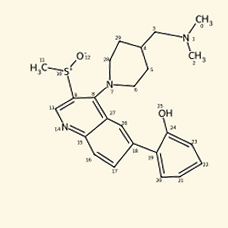 CN(C)CC1CCN(c2c([S+](C)[O-])cnc3ccc(-c4ccccc4O)cc23)CC1